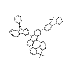 CC1(C)c2ccccc2-c2ccc(-c3ccc4c(-c5ccc6c(c5)c5ccccc5p6-c5ccccc5)c5ccccc5c(-c5cccc6c5-c5ccccc5C6(C)C)c4c3)cc21